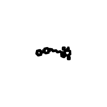 CN1CCC(=O)c2ccn(CCCCCN3CCN(c4ccccc4)CC3)c2C1=O